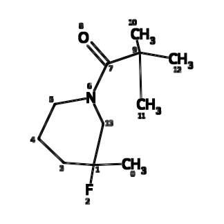 CC1(F)CCCN(C(=O)C(C)(C)C)C1